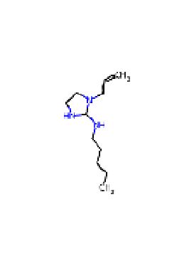 C=CCN1CCNC1NCCCCC